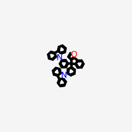 c1cc(-n2c3ccccc3c3ccccc32)cc(C2(c3cccc(-n4c5ccccc5c5ccccc54)c3)c3ccccc3-c3occc32)c1